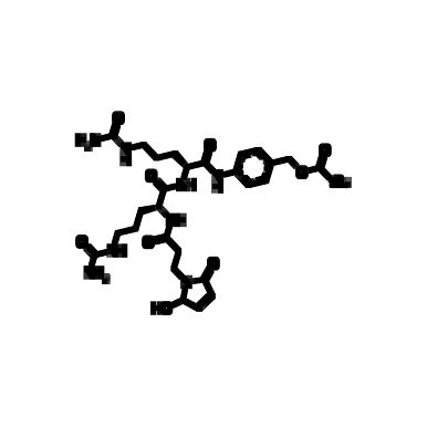 CC(C)(C)C(=O)OCc1ccc(NC(=O)[C@H](CCCNC(N)=O)NC(=O)[C@H](CCCNC(N)=O)NC(=O)CCN2C(=O)C=CC2O)cc1